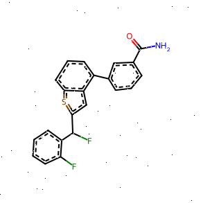 NC(=O)c1cccc(-c2cccc3sc(C(F)c4ccccc4F)cc23)c1